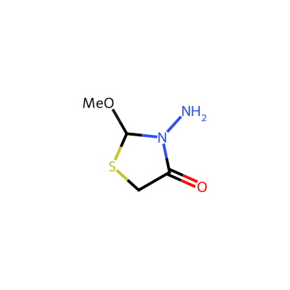 COC1SCC(=O)N1N